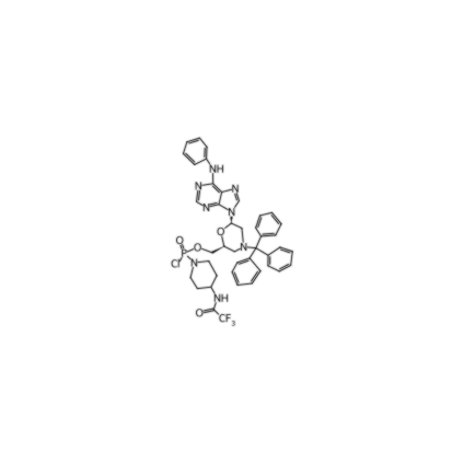 O=C(NC1CCN(P(=O)(Cl)OC[C@@H]2CN(C(c3ccccc3)(c3ccccc3)c3ccccc3)C[C@H](n3cnc4c(Nc5ccccc5)ncnc43)O2)CC1)C(F)(F)F